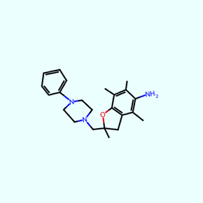 Cc1c(C)c2c(c(C)c1N)CC(C)(CN1CCN(c3ccccc3)CC1)O2